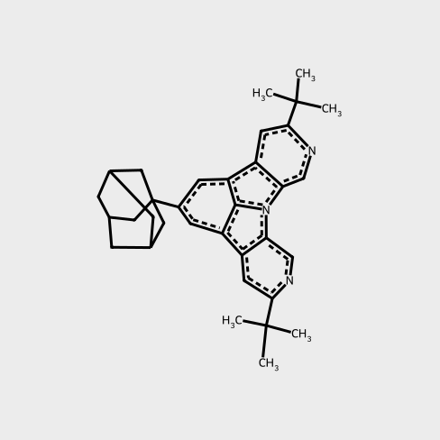 CC(C)(C)c1cc2c3cc(C45CC6CC(CC(C6)C4)C5)cc4c5cc(C(C)(C)C)ncc5n(c2cn1)c34